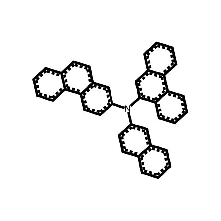 c1ccc2cc(N(c3ccc4c(ccc5ccccc54)c3)c3cc4ccccc4c4ccccc34)ccc2c1